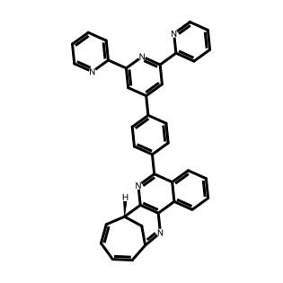 C1=CC2=Nc3c(nc(-c4ccc(-c5cc(-c6ccccn6)nc(-c6ccccn6)c5)cc4)c4ccccc34)[C@@H](C=C1)C2